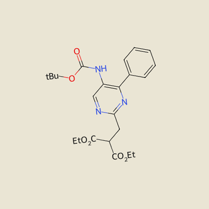 CCOC(=O)C(Cc1ncc(NC(=O)OC(C)(C)C)c(-c2ccccc2)n1)C(=O)OCC